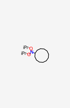 CC(C)ON(OC(C)C)C1CCCCCCCCCCC1